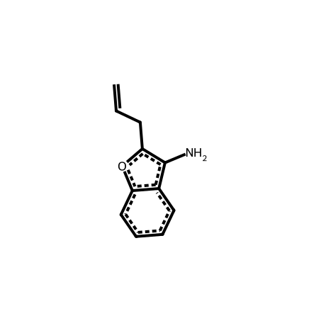 C=CCc1oc2ccccc2c1N